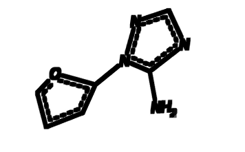 Nc1ncnn1-c1ccco1